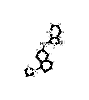 c1cc(-n2cccn2)c2ccc(Nc3n[nH]c4cccnc34)cc2c1